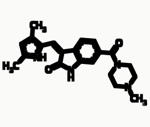 Cc1cc(C)c(/C=C2\C(=O)Nc3cc(C(=O)N4CCN(C)CC4)ccc32)[nH]1